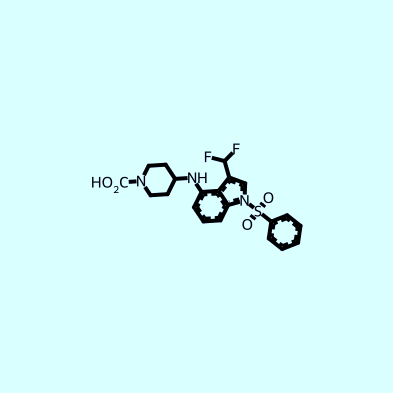 O=C(O)N1CCC(Nc2cccc3c2c(C(F)F)cn3S(=O)(=O)c2ccccc2)CC1